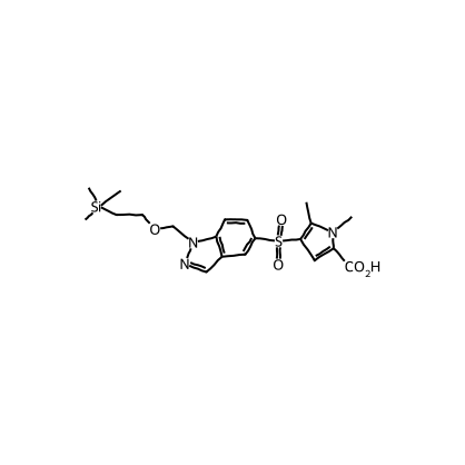 Cc1c(S(=O)(=O)c2ccc3c(cnn3COCC[Si](C)(C)C)c2)cc(C(=O)O)n1C